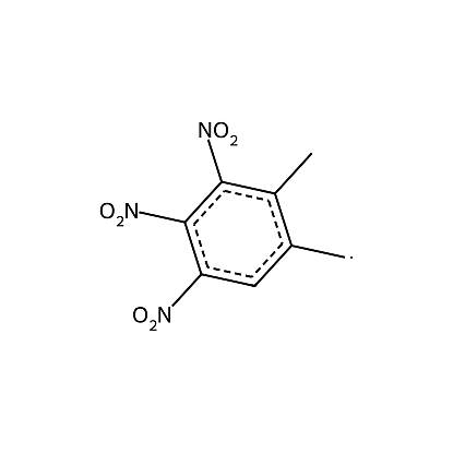 [CH2]c1cc([N+](=O)[O-])c([N+](=O)[O-])c([N+](=O)[O-])c1C